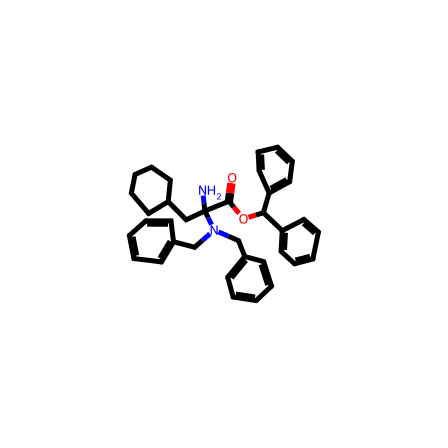 NC(CC1CCCCC1)(C(=O)OC(c1ccccc1)c1ccccc1)N(Cc1ccccc1)Cc1ccccc1